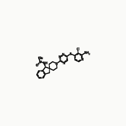 CC(C)(C)[S+]([O-])N[C@@H]1c2ccccc2CC12CCN(c1ncc(Sc3ccnc(N)c3Cl)nn1)CC2